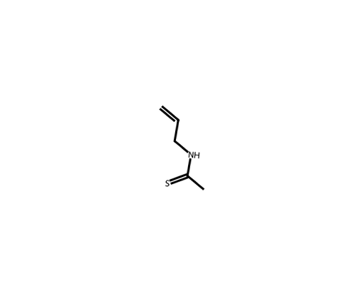 C=CCNC(C)=S